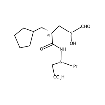 CC(C)N(CC(=O)O)NC(=O)[C@H](CC1CCCC1)CN(O)C=O